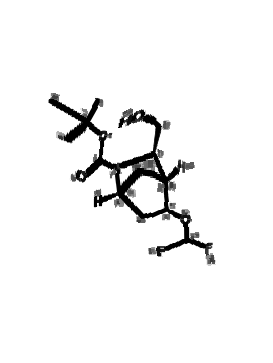 CC(C)(C)OC(=O)N1[C@@H]2C[C@@H]([C@@H](OC(F)F)C2)[C@@H]1CO